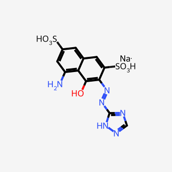 Nc1cc(S(=O)(=O)O)cc2cc(S(=O)(=O)O)c(N=Nc3ncn[nH]3)c(O)c12.[Na]